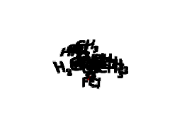 COP1(=O)N=C(C2=C(O)C(C(C)(C)C)N(Cc3ccc(F)c(Cl)c3)C2=O)Nc2ccc(NS(C)(=O)=O)cc21